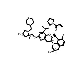 C#Cc1c(F)ccc2c1N([C@@H]1COc3c(nc(OC[C@]4(C)C[C@@H](F)CN4CC4CCOCC4)nc3N(C)C[C@@H]3CCCN3C(=O)C=C)C1)C[C@](C)(O)C2